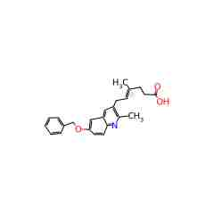 C/C(=C\Cc1cc2cc(OCc3ccccc3)ccc2nc1C)CCC(=O)O